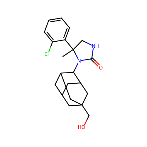 CC1(c2ccccc2Cl)CNC(=O)N1C1C2CC3CC1CC(CO)(C3)C2